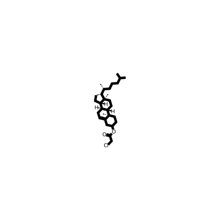 CC(C)CCC[C@@H](C)[C@H]1CC[C@H]2[C@@H]3CC=C4CC(OC(=O)CCl)CC[C@]4(C)[C@H]3CC[C@]12C